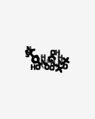 Cc1ncsc1-c1ccc([C@](C)(O)NC(=O)[C@@H]2C[C@@H](O)CN2C(=O)[C@@H](NC(=O)C(C)(C)C)C(C)(C)C)cc1